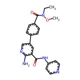 CCN(OC)C(=O)c1ccc(-c2cnc(N)c(C(=O)Nc3ccncc3)c2)cc1